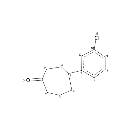 O=C1CCCC(c2cccc(Cl)c2)CC1